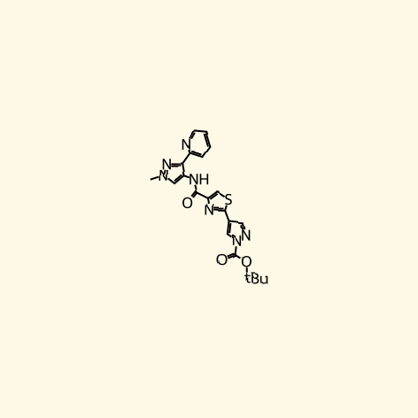 Cn1cc(NC(=O)c2csc(-c3cnn(C(=O)OC(C)(C)C)c3)n2)c(-c2ccccn2)n1